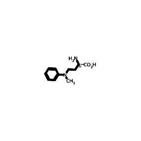 CN(CC[C@H](N)C(=O)O)c1ccccc1